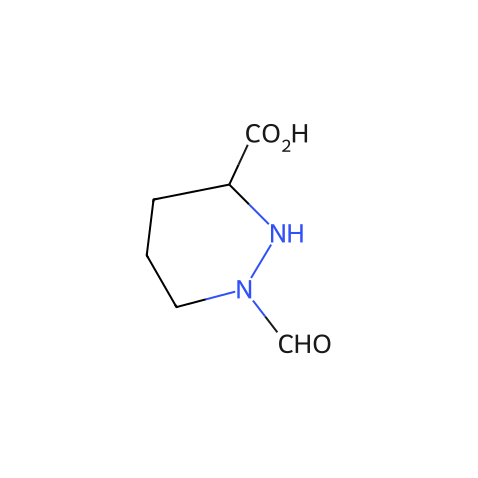 O=CN1CCCC(C(=O)O)N1